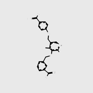 Cc1c(CNc2ccc(C(=N)N)cc2)c[n+]([O-])c(C)c1OCc1cccc(C(=N)N)c1